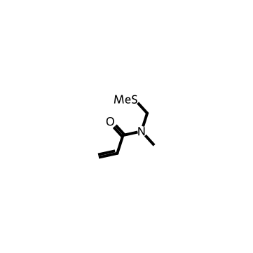 C=CC(=O)N(C)CSC